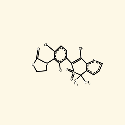 CC1(C)c2cccnc2C(O)=C(c2ccc(Cl)c(N3CCOC3=O)c2Cl)S1(=O)=O